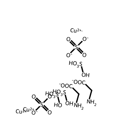 NCC(=O)[O-].NCC(=O)[O-].O=S(=O)(O)O.O=S(=O)(O)O.O=S(=O)(O)O.O=S(=O)([O-])[O-].O=S(=O)([O-])[O-].[Cu+2].[Cu+2].[Cu+2]